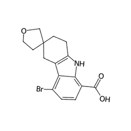 O=C(O)c1ccc(Br)c2c3c([nH]c12)CCC1(CCOC1)C3